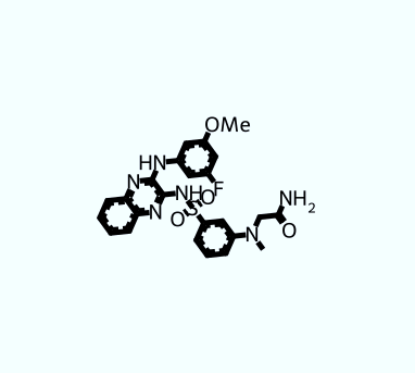 COc1cc(F)cc(Nc2nc3ccccc3nc2NS(=O)(=O)c2cccc(N(C)CC(N)=O)c2)c1